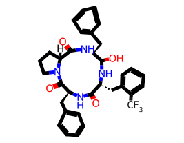 O=C1N[C@@H](Cc2ccccc2)C(O)N[C@H](Cc2ccccc2C(F)(F)F)C(=O)N[C@@H](Cc2ccccc2)C(=O)N2CCC[C@H]12